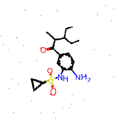 CCC(CC)C(C)C(=O)c1ccc(N)c(NS(=O)(=O)C2CC2)c1